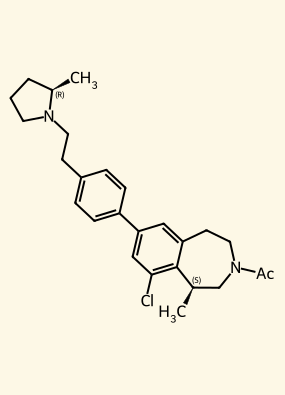 CC(=O)N1CCc2cc(-c3ccc(CCN4CCC[C@H]4C)cc3)cc(Cl)c2[C@H](C)C1